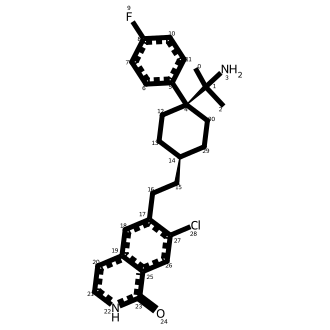 CC(C)(N)[C@]1(c2ccc(F)cc2)CC[C@H](CCc2cc3cc[nH]c(=O)c3cc2Cl)CC1